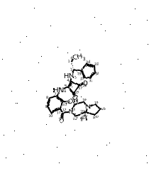 CC[C@@H](Nc1c(Nc2cccc(C(=O)N3CCN4CCC[C@H]4C3)c2O)c(=O)c1=O)c1ccccc1